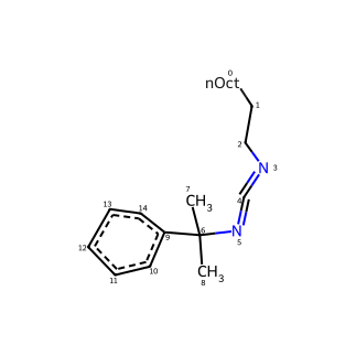 CCCCCCCCCCN=C=NC(C)(C)c1ccccc1